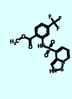 COC(=O)c1ccc(C(F)(F)F)cc1NS(=O)(=O)C1=CC=CN2SNC=C12